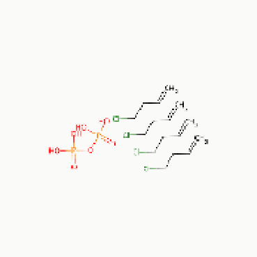 C=CCCCl.C=CCCCl.C=CCCCl.C=CCCCl.O=P(O)(O)OP(=O)(O)O